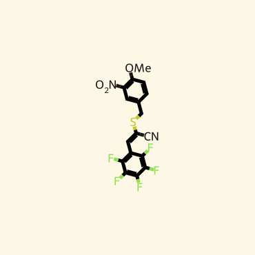 COc1ccc(CS/C(C#N)=C/c2c(F)c(F)c(F)c(F)c2F)cc1[N+](=O)[O-]